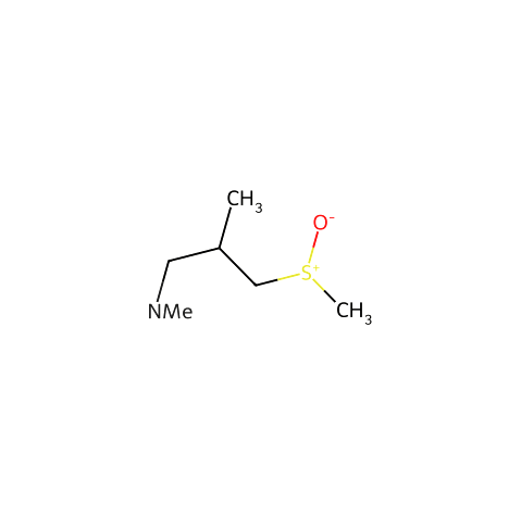 CNCC(C)C[S+](C)[O-]